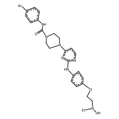 CCCN(CC)CCOc1ccc(Nc2nccc(N3CCN(C(=O)Nc4ccc(C(C)=O)cc4)CC3)n2)cc1